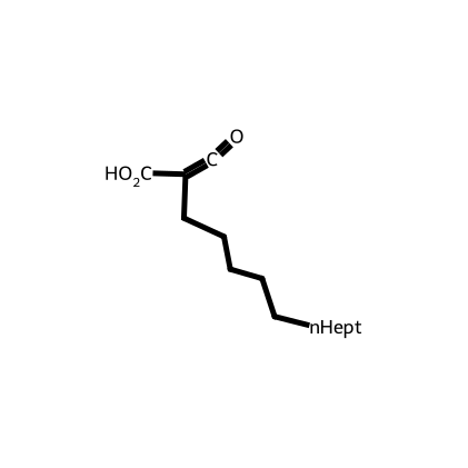 CCCCCCCCCCCCC(=C=O)C(=O)O